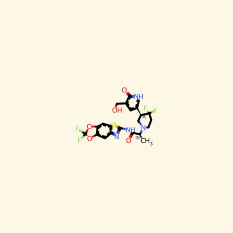 C[C@@H](C(=O)Nc1nc2cc3c(cc2s1)OC(F)(F)O3)N1CCC(F)(F)[C@H](c2c[nH]c(=O)c(CO)c2)C1